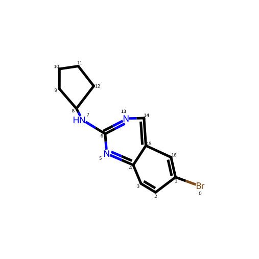 Brc1ccc2nc(NC3CCCC3)ncc2c1